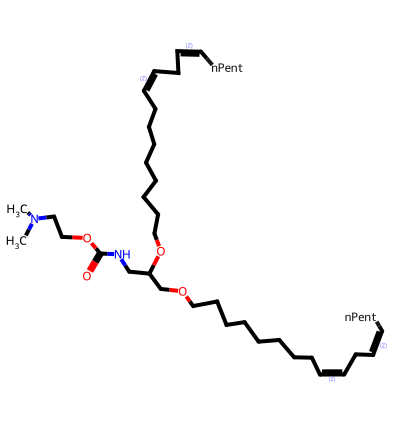 CCCCC/C=C\C/C=C\CCCCCCCCOCC(CNC(=O)OCCN(C)C)OCCCCCCCC/C=C\C/C=C\CCCCC